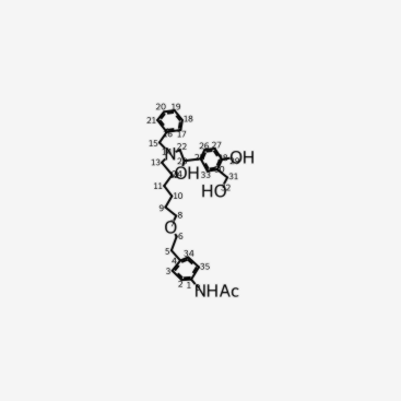 CC(=O)Nc1ccc(CCOCCCCCCN(Cc2ccccc2)CC(O)c2ccc(O)c(CO)c2)cc1